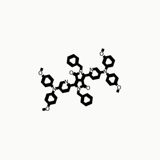 COc1ccc(N(c2ccc(OC)cc2)c2ccc(C3=C4C(=O)N(Cc5ccccc5)C(c5ccc(N(c6ccc(OC)cc6)c6cccc(OC)c6)cn5)=C4C(=O)N3Cc3ccccc3)nc2)cc1